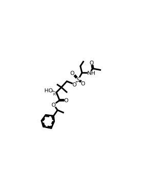 CCC(NC(C)=O)S(=O)(=O)OCC(C)(C)[C@@H](O)C(=O)OC(C)c1ccccc1